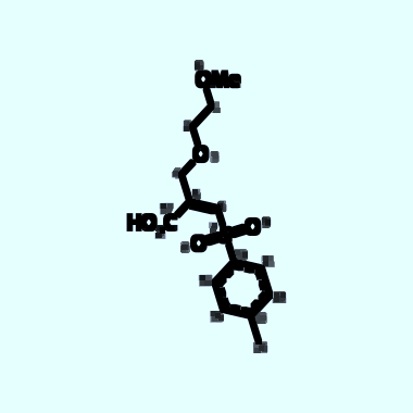 COCCOC/C(=C/S(=O)(=O)c1ccc(C)cc1)C(=O)O